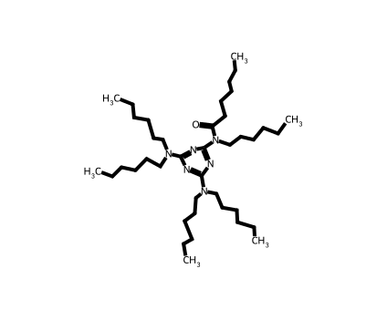 CCCCCCC(=O)N(CCCCCC)c1nc(N(CCCCCC)CCCCCC)nc(N(CCCCCC)CCCCCC)n1